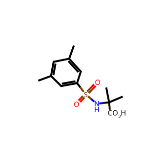 Cc1cc(C)cc(S(=O)(=O)NC(C)(C)C(=O)O)c1